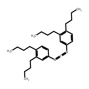 CCCCc1ccc(N=C=Nc2ccc(CCCC)c(CCCC)c2)cc1CCCC